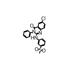 CS(=O)(=O)c1cccc(Nc2nc3ccc(Cl)cc3c(=O)n2-c2ccccc2)c1